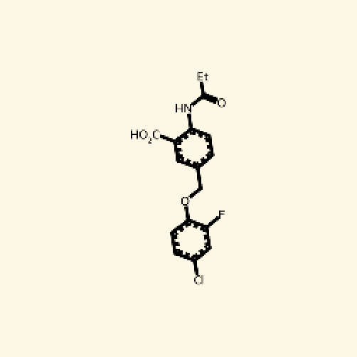 CCC(=O)Nc1ccc(COc2ccc(Cl)cc2F)cc1C(=O)O